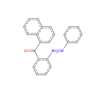 O=C(c1ccccc1/N=N/c1ccccc1)c1cccc2ccccc12